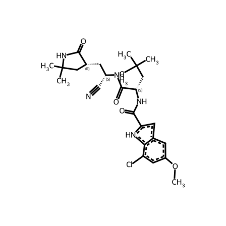 COc1cc(Cl)c2[nH]c(C(=O)N[C@@H](CC(C)(C)C)C(=O)N[C@H](C#N)C[C@@H]3CC(C)(C)NC3=O)cc2c1